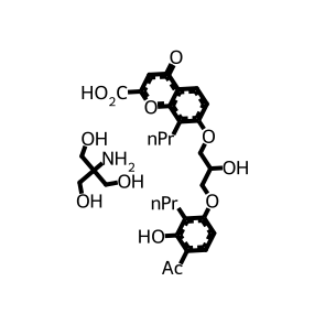 CCCc1c(OCC(O)COc2ccc3c(=O)cc(C(=O)O)oc3c2CCC)ccc(C(C)=O)c1O.NC(CO)(CO)CO